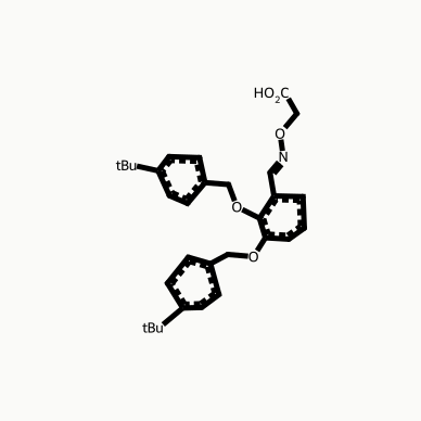 CC(C)(C)c1ccc(COc2cccc(C=NOCC(=O)O)c2OCc2ccc(C(C)(C)C)cc2)cc1